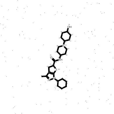 Cc1nn(C2CCCCC2)c2c1CC(C(=O)NC1CCN(C3CCC(O)CC3)CC1)S2